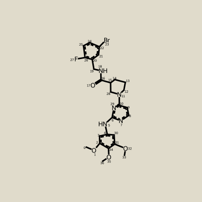 COc1cc(Nc2nccc(N3CCCC(C(=O)NCc4cc(Br)ccc4F)C3)n2)cc(OC)c1OC